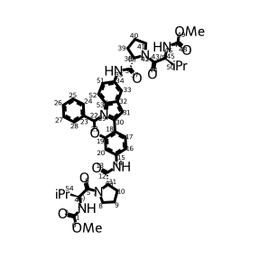 COC(=O)N[C@H](C(=O)N1CCC[C@H]1C(=O)Nc1ccc2c(c1)OC(c1ccccc1)n1c-2cc2cc(NC(=O)[C@@H]3CCCN3C(=O)[C@@H](NC(=O)OC)C(C)C)ccc21)C(C)C